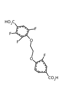 O=C(O)c1ccc(OCCOc2c(F)cc(C(=O)O)c(F)c2F)c(F)c1